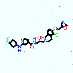 O=C(NC[C@H](O)CN1CCc2c(ccc(OCc3cnco3)c2Cl)C1)c1ccnc(NC2CCC(F)(F)CC2)c1